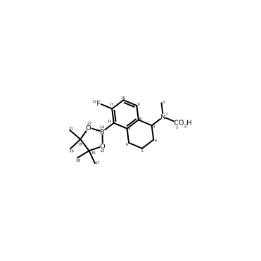 CN(C(=O)O)C1CCCc2c1ccc(F)c2B1OC(C)(C)C(C)(C)O1